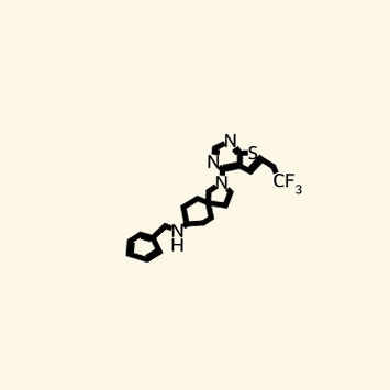 FC(F)(F)Cc1cc2c(N3CCC4(CCC(NCc5ccccc5)CC4)C3)ncnc2s1